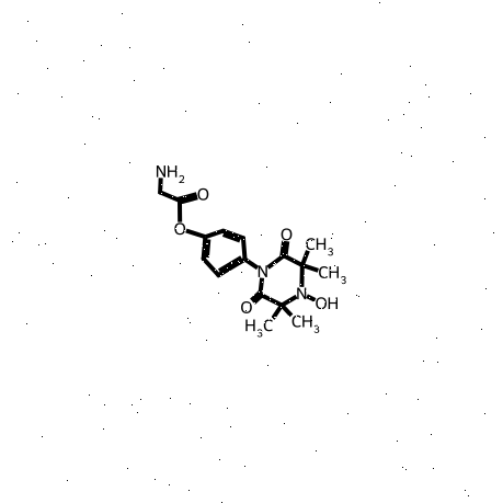 CC1(C)C(=O)N(c2ccc(OC(=O)CN)cc2)C(=O)C(C)(C)N1O